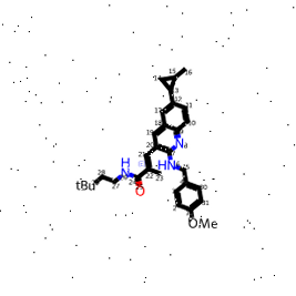 COc1ccc(CNc2nc3ccc(C4CC4C)cc3cc2/C=C(\C)C(=O)NCCC(C)(C)C)cc1